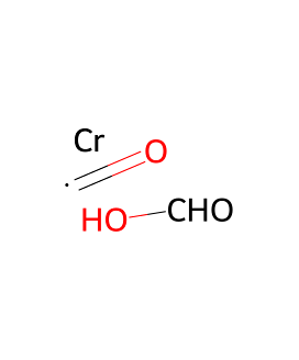 O=CO.[CH]=O.[Cr]